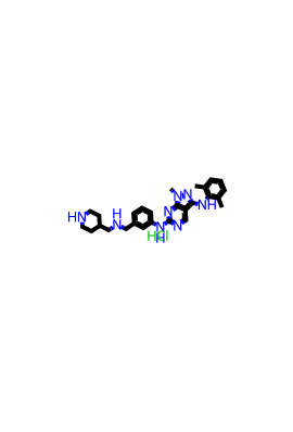 Cc1cccc(C)c1Nc1nn(C)c2nc(Nc3cccc(CNCC4CCNCC4)c3)ncc12.Cl